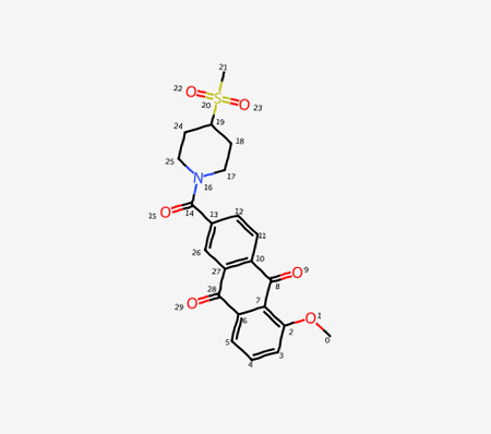 COc1cccc2c1C(=O)c1ccc(C(=O)N3CCC(S(C)(=O)=O)CC3)cc1C2=O